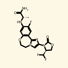 C[C@H](Nc1cc2c(cc1F)-c1nc(N3C(=O)OC[C@H]3C(F)F)cn1CCO2)C(N)=O